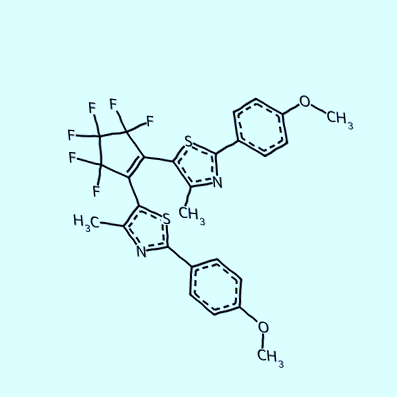 COc1ccc(-c2nc(C)c(C3=C(c4sc(-c5ccc(OC)cc5)nc4C)C(F)(F)C(F)(F)C3(F)F)s2)cc1